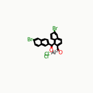 O=[C]([Al+2])c1ccc2cc(Br)ccc2c1C(=O)c1ccc2cc(Br)ccc2c1.[Cl-].[Cl-]